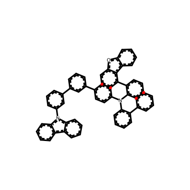 c1ccc(-c2ccccc2N(c2ccc(-c3cccc(-c4cccc(-n5c6ccccc6c6ccccc65)c4)c3)cc2)c2ccccc2-c2cccc3oc4ccccc4c23)cc1